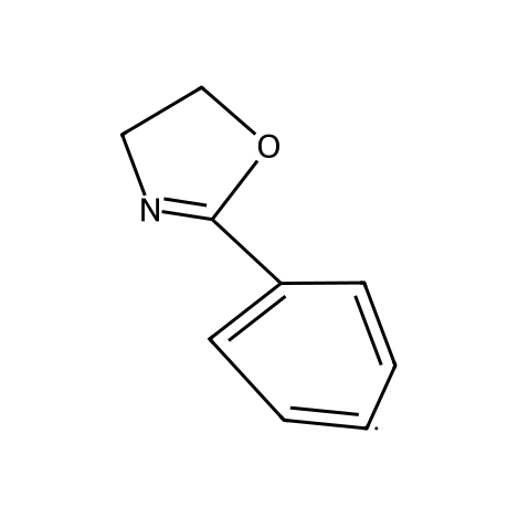 [c]1ccc(C2=NCCO2)cc1